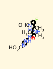 C/C(=C\c1[nH]c(C)c(C(=O)NCCN2CCN(CC(=O)O)CC2)c1C)c1cc(F)ccc1NC=O